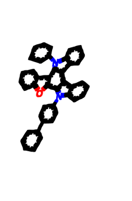 c1ccc(-c2ccc(-n3c4ccccc4c4c5c6ccccc6n(-c6ccccc6)c5c5c6ccccc6oc5c43)cc2)cc1